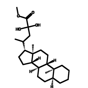 COC(=O)C(O)(O)CC(C)[C@H]1CC[C@H]2[C@@H]3CC[C@@H]4CCCC[C@]4(C)[C@H]3CC[C@]12C